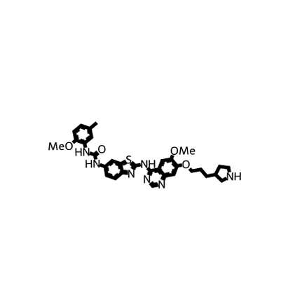 COc1ccc(C)cc1NC(=O)Nc1ccc2nc(Nc3ncnc4cc(OCCCC5CCNC5)c(OC)cc34)sc2c1